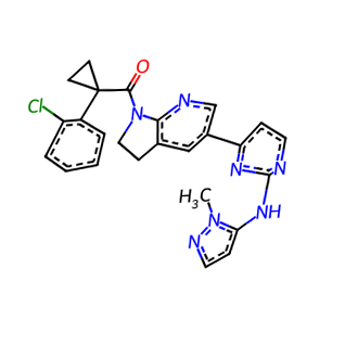 Cn1nccc1Nc1nccc(-c2cnc3c(c2)CCN3C(=O)C2(c3ccccc3Cl)CC2)n1